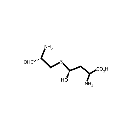 NC(C[C@@H](O)SC[C@@H](N)C=O)C(=O)O